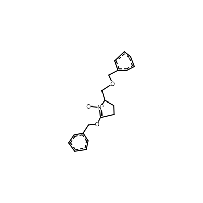 [O-][N+]1=C(OCc2ccccc2)CCC1COCc1ccccc1